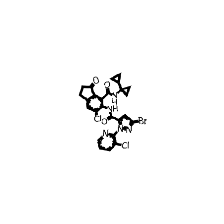 O=C1CCc2cc(Cl)c(NC(=O)c3cc(Br)nn3-c3ncccc3Cl)c(C(=O)NC3(C4CC4)CC3)c21